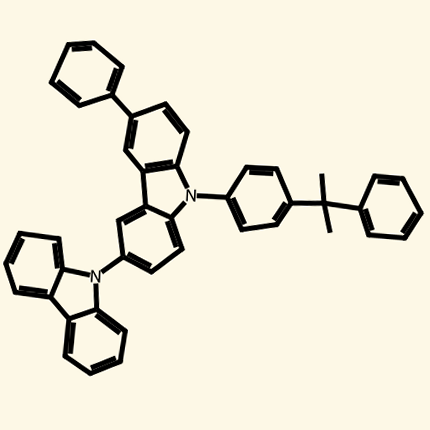 CC(C)(c1ccccc1)c1ccc(-n2c3ccc(-c4ccccc4)cc3c3cc(-n4c5ccccc5c5ccccc54)ccc32)cc1